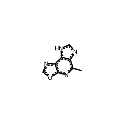 Cc1nc2ocnc2c2[nH]cnc12